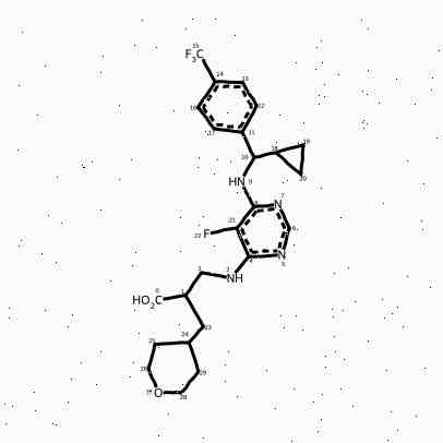 O=C(O)C(CNc1ncnc(NC(c2ccc(C(F)(F)F)cc2)C2CC2)c1F)CC1CCOCC1